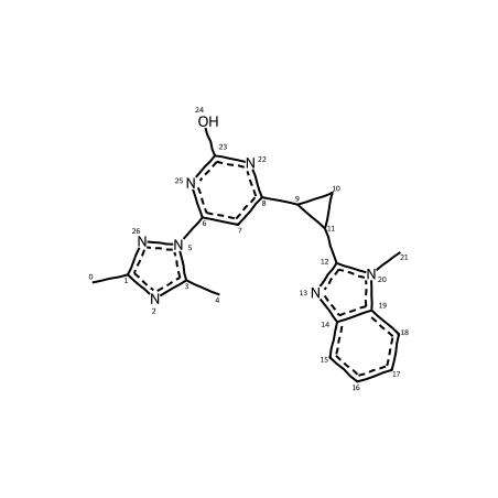 Cc1nc(C)n(-c2cc(C3CC3c3nc4ccccc4n3C)nc(O)n2)n1